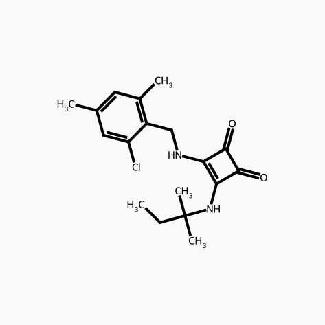 CCC(C)(C)Nc1c(NCc2c(C)cc(C)cc2Cl)c(=O)c1=O